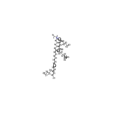 CC/C=C(\CCCCCC(CCCCCCCOCCC(CCC)CCCCC)OCCCCN(C)C)OC(CCCCC)CCCCC